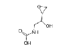 O=C(O)NCC(O)C1CO1